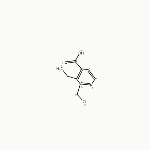 CCc1c(C(=O)O)ccnc1CCl